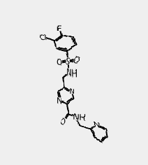 O=C(NCc1ccccn1)c1cnc(CNS(=O)(=O)c2ccc(F)c(Cl)c2)cn1